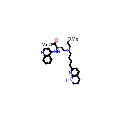 COCCN(CCCCc1ccc2c(n1)NCCC2)CC[C@H](Nc1ccnc2ccccc12)C(=O)OC